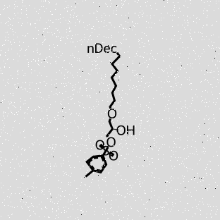 CCCCCCCCCCCCCCCCCCOC[C@H](O)COS(=O)(=O)c1ccc(C)cc1